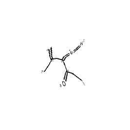 C=C(C)C(=[N+]=[N-])C(C)=O